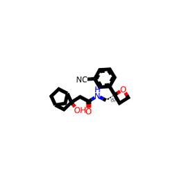 N#Cc1cccc([C@]2(CNC(=O)CC3(O)CC4CCC3C4)CCO2)c1